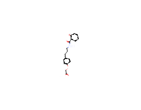 O=C(O)COc1ccc(CCCNC(=O)c2ccccc2O)cc1